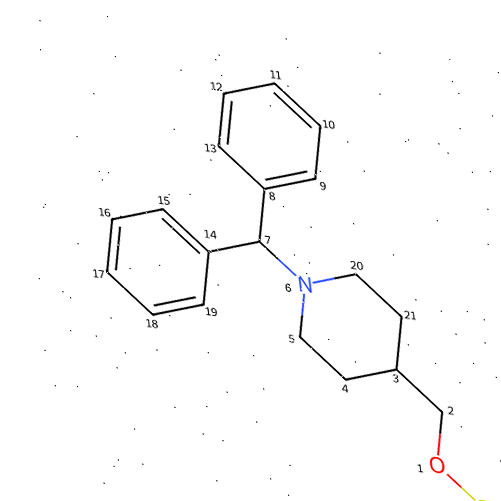 SOCC1CCN(C(c2ccccc2)c2ccccc2)CC1